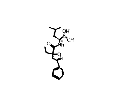 CCC1(C(=O)N[C@@H](CC(C)C)B(O)O)CC(c2ccccc2)=NO1